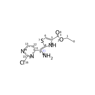 CCOC(=O)C1=CS/C(=C(/N)c2ccnc(Cl)n2)N1